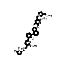 CNCC1CCN(Cc2cc(Cl)c(O[C@H]3CCc4c(-c5cccc(-c6ccc(CNC[C@@H]7CCC(=O)N7)c(OC)n6)c5Cl)cccc43)nc2OC)C1